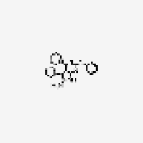 Nc1[nH]c2nc(Nc3ccccc3)nc(N3CCCCC3)c2c1N1CCCC1